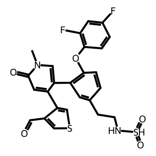 Cn1cc(-c2cc(CCN[SH](=O)=O)ccc2Oc2ccc(F)cc2F)c(-c2cscc2C=O)cc1=O